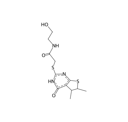 CC1Sc2nc(SCC(=O)NCCO)[nH]c(=O)c2C1C